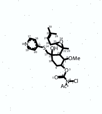 COC1C(OC(=O)N(Cl)C(C)=O)CCC(O)(CSc2ccncc2)C1C1(C)OC1CC=C(C)C